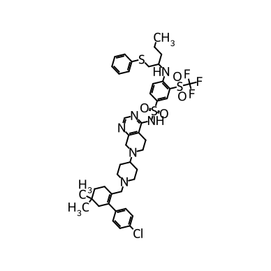 CCCC(CSc1ccccc1)Nc1ccc(S(=O)(=O)Nc2ncnc3c2CCN(C2CCN(CC4=C(c5ccc(Cl)cc5)CC(C)(C)CC4)CC2)C3)cc1S(=O)(=O)C(F)(F)F